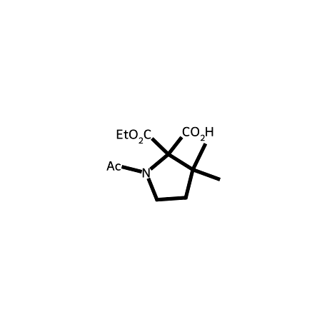 CCOC(=O)C1(C(=O)O)N(C(C)=O)CCC1(C)C